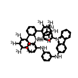 [2H]c1c([2H])c([2H])c(-c2cccc(-c3c([2H])c([2H])c([2H])c([2H])c3[2H])c2Nc2ccccc2Nc2cccc(Nc3ccc4c5ccccc5n(-c5cc(C(C)(C)C)ccn5)c4c3)c2)c([2H])c1[2H]